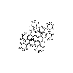 c1ccc(-c2nc(-c3ccccc3)c(-c3ccccc3-c3ccccc3-c3nc(-c4ccccc4)c(-c4ccccc4)nc3-c3ccccc3)nc2-c2ccccc2)cc1